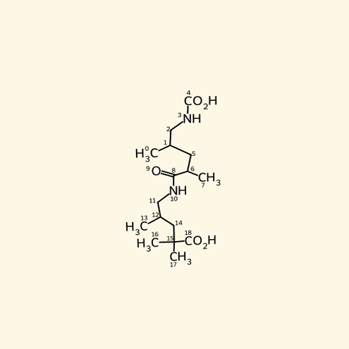 CC(CNC(=O)O)CC(C)C(=O)NCC(C)CC(C)(C)C(=O)O